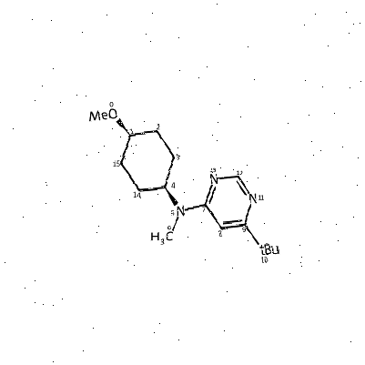 CO[C@H]1CC[C@@H](N(C)c2cc(C(C)(C)C)ncn2)CC1